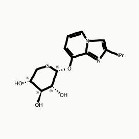 CC(C)c1cn2cccc(O[C@H]3SC[C@@H](O)[C@H](O)[C@H]3O)c2n1